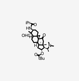 CC(C)C(=O)N[C@H]1CCC23C[C@]24C(=O)C[C@]2(C)[C@@H]([C@H](C)N(C)C)[C@H](OC(=O)C(C)(C)C)C[C@@]2(C)[C@@H]4CC[C@H]3[C@]1(C)C=O